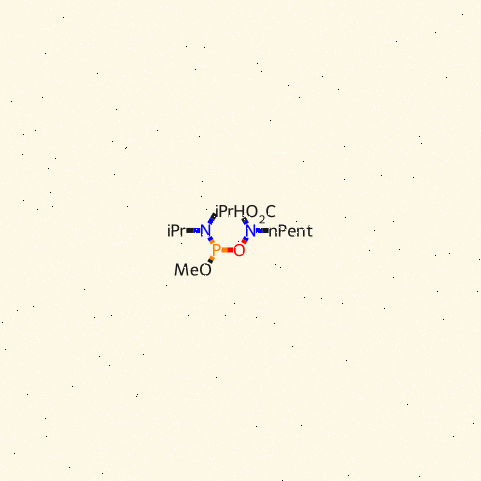 CCCCCN(OP(OC)N(C(C)C)C(C)C)C(=O)O